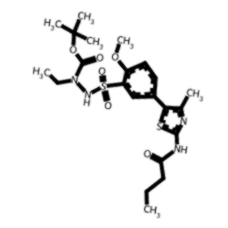 CCCC(=O)Nc1nc(C)c(-c2ccc(OC)c(S(=O)(=O)NN(CC)C(=O)OC(C)(C)C)c2)s1